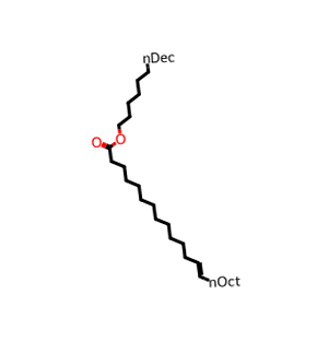 CCCCCCCCC=CCCCCCCCCCCCC(=O)OCCCCCCCCCCCCCCCC